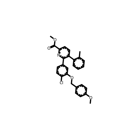 COC(=O)c1ccc(-c2ccccc2C)c(-c2ccc(Cl)c(OCc3ccc(OC)cc3)c2)n1